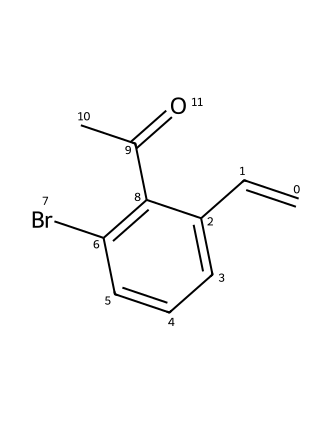 C=Cc1cccc(Br)c1C(C)=O